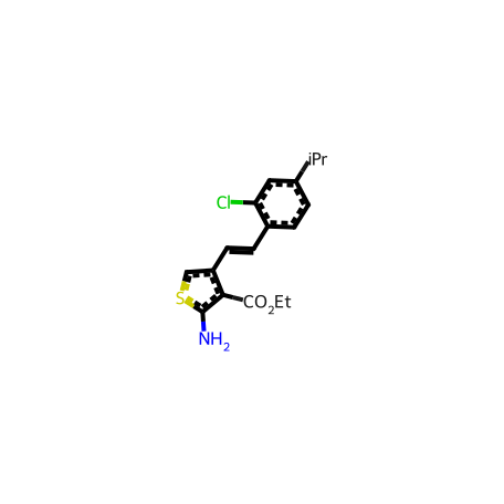 CCOC(=O)c1c(C=Cc2ccc(C(C)C)cc2Cl)csc1N